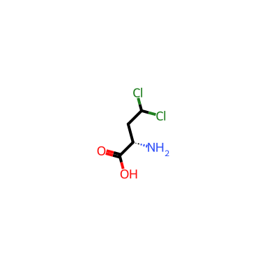 N[C@@H](CC(Cl)Cl)C(=O)O